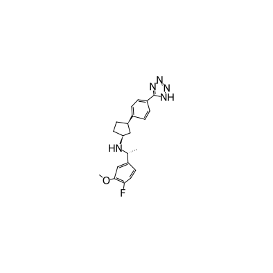 COc1cc([C@@H](C)N[C@H]2CC[C@@H](c3ccc(-c4nnn[nH]4)cc3)C2)ccc1F